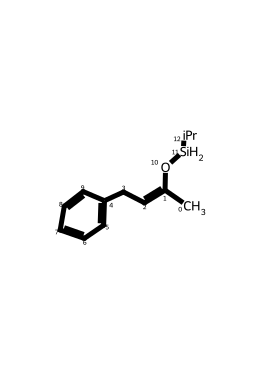 CC(=CCc1ccccc1)O[SiH2]C(C)C